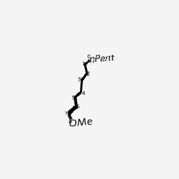 CCCCCCCCCC/C=C/OC